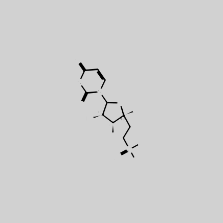 C=P(C)(C)CC[C@@]1(C)OC(n2ccc(=O)[nH]c2=O)[C@H](O)[C@@H]1O